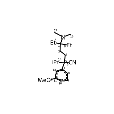 CCC(CC)(CCC(C#N)(c1cccc(OC)c1)C(C)C)N(C)C